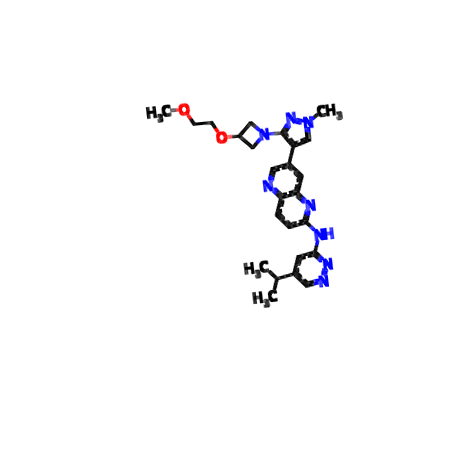 COCCOC1CN(c2nn(C)cc2-c2cnc3ccc(Nc4cc(C(C)C)cnn4)nc3c2)C1